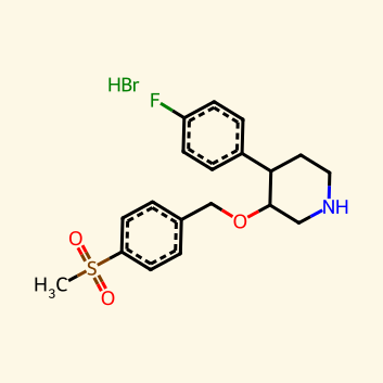 Br.CS(=O)(=O)c1ccc(COC2CNCCC2c2ccc(F)cc2)cc1